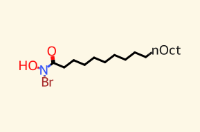 CCCCCCCCCCCCCCCCCC(=O)N(O)Br